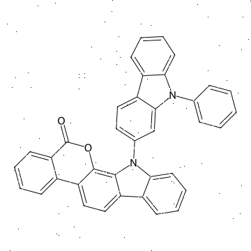 O=c1oc2c(ccc3c4ccccc4n(-c4ccc5c6ccccc6n(-c6ccccc6)c5c4)c32)c2ccccc12